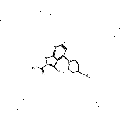 CC(=O)OC1CCN(c2ccnc3sc(C(N)=O)c(N)c23)CC1